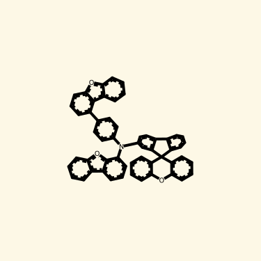 c1ccc2c(c1)Oc1ccccc1C21c2ccccc2-c2ccc(N(c3ccc(-c4cccc5oc6ccccc6c45)cc3)c3cccc4c3oc3ccccc34)cc21